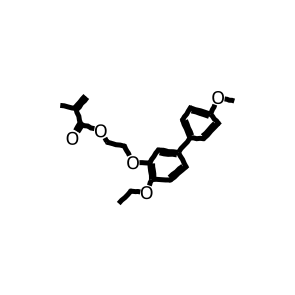 C=C(C)C(=O)OCCOc1cc(-c2ccc(OC)cc2)ccc1OCC